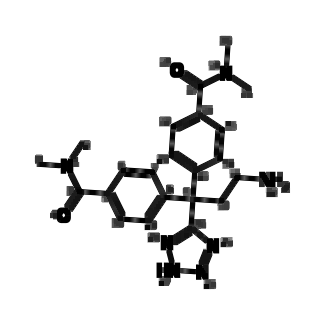 CN(C)C(=O)c1ccc(C(CCN)(c2ccc(C(=O)N(C)C)cc2)c2nn[nH]n2)cc1